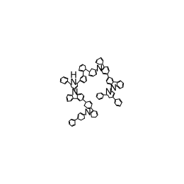 C1=CCC(C2C=CC=C(N3c4cc(-c5ccc6c(c5)c5ccccc5n6C5=NC(c6ccccc6)CC(c6ccccc6)=C5)ccc4C4C=CC=CC43)C2)C(c2cccc(C3C=C(n4c5ccccc5c5cc(C6C=Cc7c8c(n(C9=CC=C(c%10ccccc%10)CC9)c7C6)CCC=C8)ccc54)CC(c4ccccc4)N3)c2)=C1